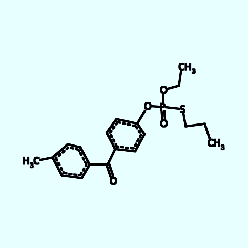 CCCSP(=O)(OCC)Oc1ccc(C(=O)c2ccc(C)cc2)cc1